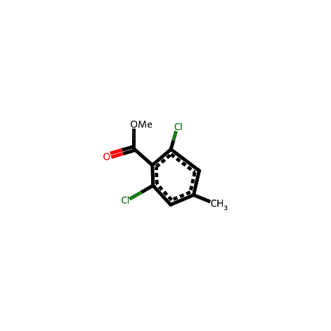 COC(=O)c1c(Cl)cc(C)cc1Cl